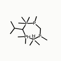 CC(C)C1[PH](C)(C)[PH](C)(C)P(C)CP(C)P1(C)(C)C